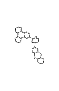 c1ccc2c(c1)Sc1ccc(-c3ccnc(-c4ccc5c6ccccc6c6ccccc6c5c4)n3)cc1S2